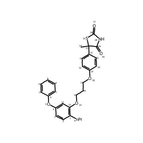 CCCc1ccc(Oc2ccccc2)cc1OCCCOc1ccc(C2(C)SC(=O)NC2=O)cc1